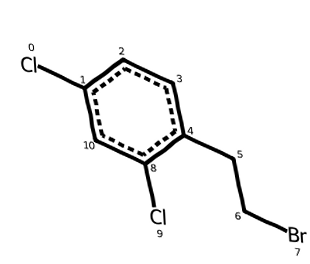 Clc1ccc(CCBr)c(Cl)c1